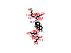 C=C1CC23CCC4[C@](C)(C(=O)OC(O)/C(OC(O)/C(O)=C(/O)C(O)CCO)=C(/OO)C(O)CCO)CCC[C@@]4(C)[C@@H]2CC[C@]1(OC(O)/C(OC(O)/C(O)=C(/O)C(O)CCO)=C(/OO)C(O)CCO)C3